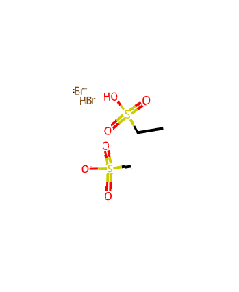 Br.CCS(=O)(=O)O.CS(=O)(=O)[O-].[Br+]